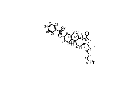 CC(C)CCC[C@@H](C)[C@H]1CC(=O)[C@@]2(C)C3=CCC4C[C@@H](OC(=O)c5ccccc5)CC[C@]4(C)[C@H]3CC[C@]12C